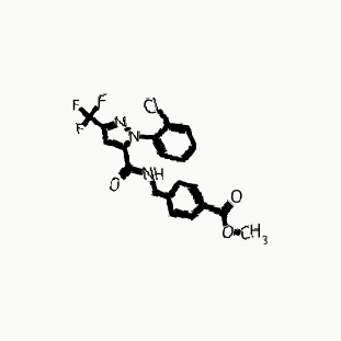 COC(=O)c1ccc(CNC(=O)c2cc(C(F)(F)F)nn2-c2ccccc2Cl)cc1